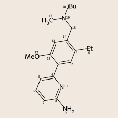 CCc1cc(-c2cccc(N)n2)c(OC)cc1CN(C)C(C)CC